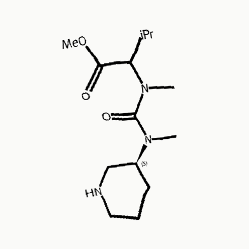 COC(=O)C(C(C)C)N(C)C(=O)N(C)[C@H]1CCCNC1